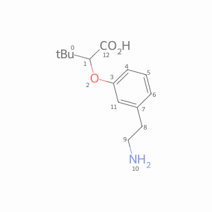 CC(C)(C)C(Oc1cccc(CCN)c1)C(=O)O